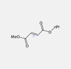 [CH2]CCOC(=O)/C=C/C(=O)OC